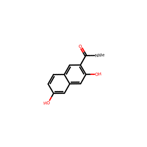 CNC(=O)c1cc2ccc(O)cc2cc1O